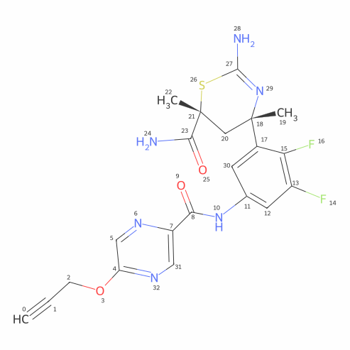 C#CCOc1cnc(C(=O)Nc2cc(F)c(F)c([C@]3(C)C[C@](C)(C(N)=O)SC(N)=N3)c2)cn1